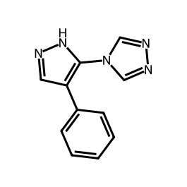 c1ccc(-c2cn[nH]c2-n2cnnc2)cc1